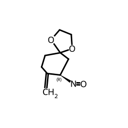 C=C1CCC2(C[C@H]1N=O)OCCO2